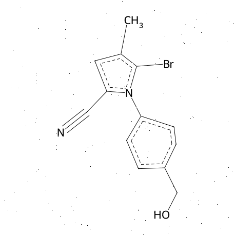 Cc1cc(C#N)n(-c2ccc(CO)cc2)c1Br